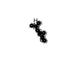 c1ccc(C2=NC(c3ccc4c(c3)sc3c(-c5ccccc5-c5ccc6oc7ccccc7c6c5)cccc34)=NC(c3ccccc3)N2)cc1